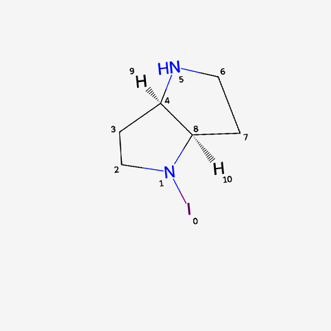 IN1CC[C@H]2NCC[C@H]21